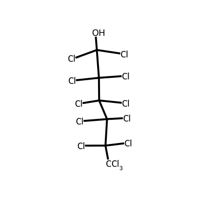 OC(Cl)(Cl)C(Cl)(Cl)C(Cl)(Cl)C(Cl)(Cl)C(Cl)(Cl)C(Cl)(Cl)Cl